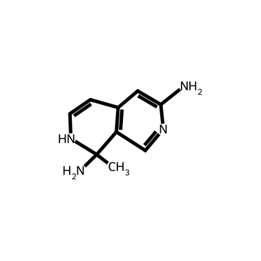 CC1(N)NC=Cc2cc(N)ncc21